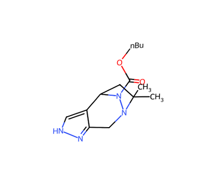 CCCCOC(=O)N1C2CC(C)(C)N1Cc1n[nH]cc12